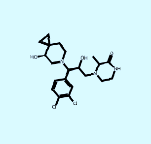 CC1C(=O)NCCN1CC(O)C(c1ccc(Cl)c(Cl)c1)N1CCC2(CC2)[C@H](O)C1